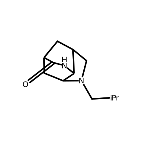 CC(C)CN1CC2CC3CC1C2NC3=O